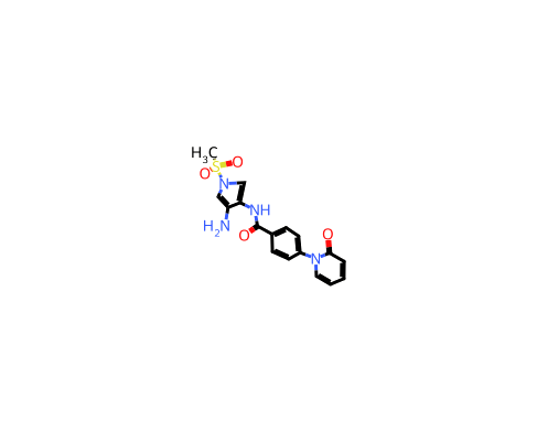 CS(=O)(=O)n1cc(N)c(NC(=O)c2ccc(-n3ccccc3=O)cc2)c1